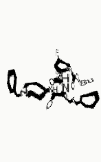 CC(C)(C)OC(=O)N1C[C@@H](F)C[C@H]1C(=O)N[C@@H](CSCC1CCCCC1)C(=O)NC1CCN(Cc2ccccc2)CC1